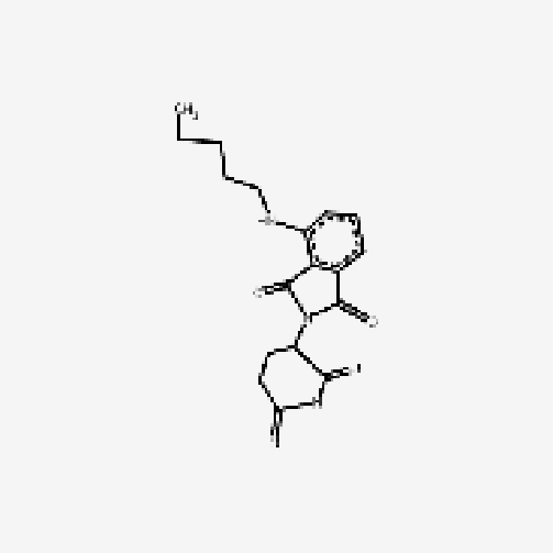 CCCCCNc1cccc2c1C(=O)N(C1CCC(=O)NC1=O)C2=O